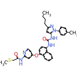 CCCCc1cc(NC(=O)Nc2ccc(Oc3ccnc(NC(=O)CSC)c3)c3ccccc23)n(-c2ccc(C)cc2)n1